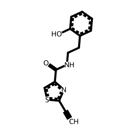 C#Cc1nc(C(=O)NCCc2ccccc2O)cs1